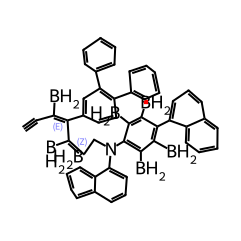 B/C(CN(c1c(B)c(B)c(-c2cccc3ccccc23)c(B)c1B)c1cccc2ccccc12)=C(B)/C(=C(/B)C#C)c1ccc(-c2ccccc2)c(-c2ccccc2)c1